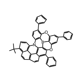 CC(C)(C)c1ccc2c3c1ccc1ccc4c(-c5ccccc5)c5c6c(c4c13)N2c1ccc(-c2ccccc2)c2c1B6c1c(cc(-c3ccccc3)cc1O5)O2